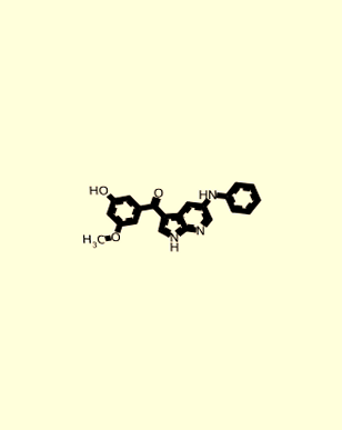 COc1cc(O)cc(C(=O)c2c[nH]c3ncc(Nc4ccccc4)cc23)c1